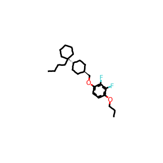 CCCCC1([C@H]2CC[C@H](COc3ccc(OCCC)c(F)c3F)CC2)CCCCC1